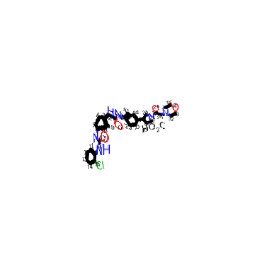 O=C(Cc1ccc2nc(Nc3ccccc3Cl)oc2c1)Nc1ccc(C2CN(C(=O)CN3CCOCC3)CC2C(=O)O)cc1